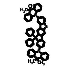 CC1(C)c2ccccc2N(c2ccc3c(c2)C(c2ccccc2)(c2ccccc2)c2cc4c(cc2-3)sc2ccc(N3c5ccccc5C(C)(C)c5ccccc53)cc24)c2ccccc21